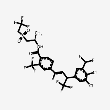 C[C@H](CS(=O)(=O)CC(F)(F)F)NC(=O)c1ccc(/C(F)=C/C(c2cc(Cl)c(Cl)c(C(F)F)c2)C(F)(F)F)cc1C(F)(F)F